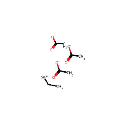 CC(=O)[O-].CC(=O)[O-].CC(=O)[O-].C[CH2][Sn+3]